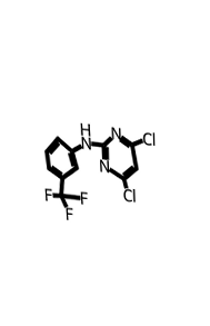 FC(F)(F)c1cccc(Nc2nc(Cl)cc(Cl)n2)c1